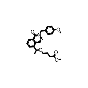 COC(=O)CCCOC(C)c1cccc2c(=O)n(Cc3ccc(OC)cc3)ncc12